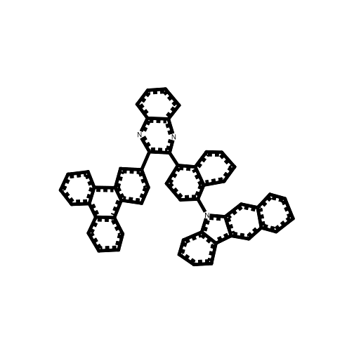 c1ccc2cc3c(cc2c1)c1ccccc1n3-c1ccc(-c2nc3ccccc3nc2-c2ccc3c4ccccc4c4ccccc4c3c2)c2ccccc12